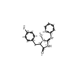 O=C1NC(=Nc2ccccn2)[S+]([O-])C1Cc1ccc(F)cc1